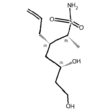 C=CC[C@@H](C[C@H](O)CCO)[C@@H](C)S(N)(=O)=O